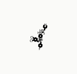 O=S(=O)(c1ccc(NC(=S)NCc2ccncc2)cc1)N(Cc1ccc(F)cc1)Cc1ccc(Cl)c(Cl)c1